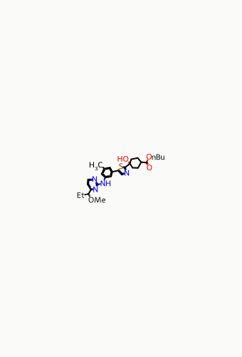 CCCCOC(=O)C1CCC(O)(c2ncc(-c3cc(C)cc(Nc4nccc(C(CC)OC)n4)c3)s2)CC1